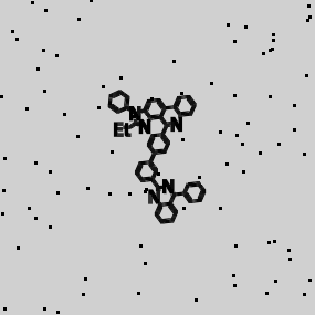 CCc1nc2c3c(-c4ccc(-c5cccc(-c6nc(-c7ccccc7)c7ccccc7n6)c5)cc4)nc4ccccc4c3ccc2n1-c1ccccc1